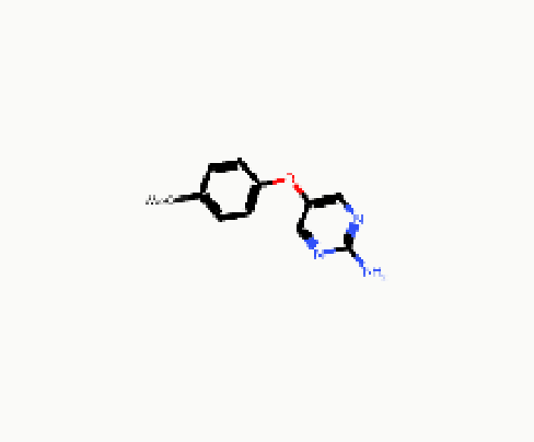 COc1ccc(Oc2cnc(N)nc2)cc1